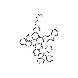 CCCCc1ccc(N2c3cc4c(cc3B3c5c2cc2c(sc6ccccc62)c5-c2cccc5c2N3c2ccccc2S5(c2ccccc2)c2ccccc2)oc2ccccc24)c(-c2ccccc2)c1